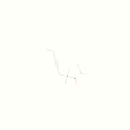 CCC#CCC(C)(C)C(=O)C(Cl)Br